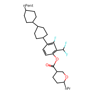 CCCCCC1CCC(C2CCC(c3ccc(OC(=O)C4CCC(CCC)OC4)c(C(F)F)c3F)CC2)CC1